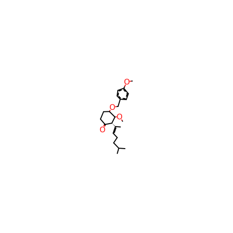 COc1ccc(CO[C@@H]2CCC(=O)[C@@H](C(C)=CCCC(C)C)[C@@H]2OC)cc1